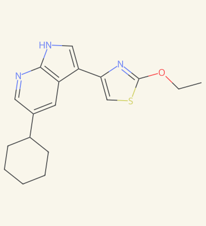 CCOc1nc(-c2c[nH]c3ncc(C4CCCCC4)cc23)cs1